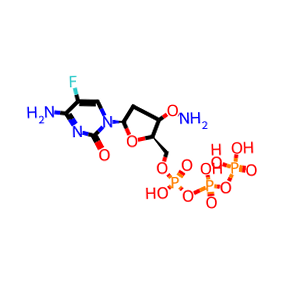 NOC1C[C@H](n2cc(F)c(N)nc2=O)O[C@@H]1COP(=O)(O)OP(=O)(O)OP(=O)(O)O